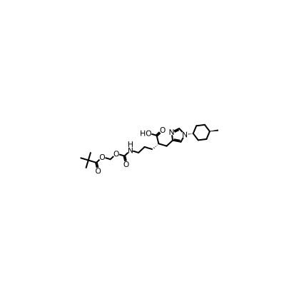 CC(C)(C)C(=O)OCOC(=O)NCCC[C@@H](Cc1cn([C@H]2CC[C@H](C)CC2)cn1)C(=O)O